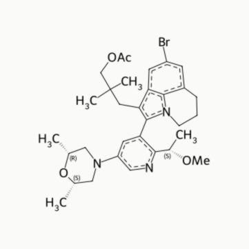 CO[C@@H](C)c1ncc(N2C[C@@H](C)O[C@@H](C)C2)cc1-c1c(CC(C)(C)COC(C)=O)c2cc(Br)cc3c2n1CCC3